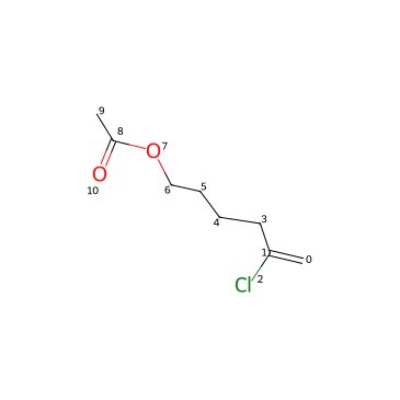 C=C(Cl)CCCCOC(C)=O